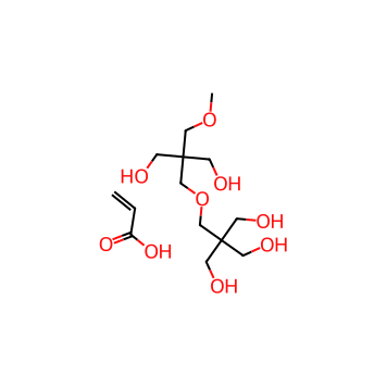 C=CC(=O)O.COCC(CO)(CO)COCC(CO)(CO)CO